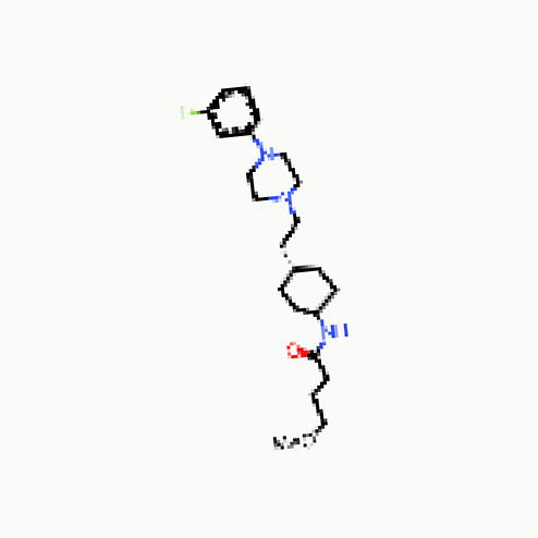 COCCCC(=O)N[C@H]1CC[C@H](CCN2CCN(c3cccc(F)c3)CC2)CC1